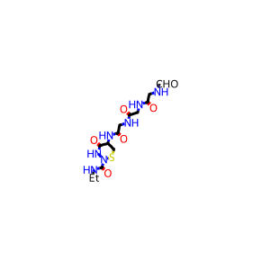 CCNC(=O)N1NC(=O)C(NC(=O)CNC(=O)CNC(=O)CNC=O)CS1